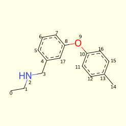 CCNCc1cccc(Oc2ccc(C)cc2)c1